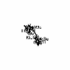 C=C1C[C@H]2C(O)N(C(=O)OC(C)(C)C)c3cc(OCCCCCOc4cc5c(cc4OC)C(=O)N4CC(=C)C[C@H]4C(O)N5C(=O)OC(C)(C)C)c(OC)cc3C(=O)N2C1